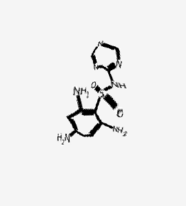 Nc1cc(N)c(S(=O)(=O)Nc2ncncn2)c(N)c1